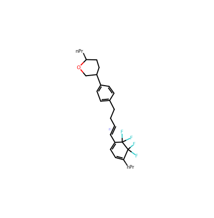 CCCC1=CC=C(/C=C/CCc2ccc(C3CCC(CCC)OC3)cc2)C(F)(F)C1(F)F